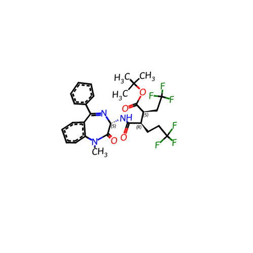 CN1C(=O)[C@@H](NC(=O)[C@H](CCC(F)(F)F)[C@H](CC(F)(F)F)C(=O)OC(C)(C)C)N=C(c2ccccc2)c2ccccc21